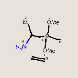 C=C.CCC(N)[Si](C)(OC)OC